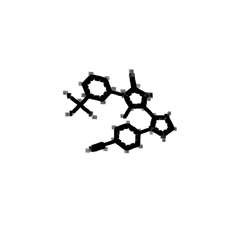 Cc1c(-c2ncnn2-c2ccc(C#N)cc2)[nH]c(=O)n1-c1cccc(C(F)(F)F)c1